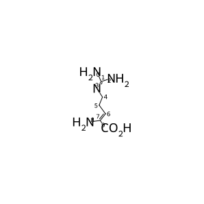 NC(N)=NCC/C=C(\N)C(=O)O